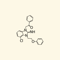 N=c1n(CC(=O)c2ccccc2)c2cccc(Cl)c2n1CCOc1ccccc1